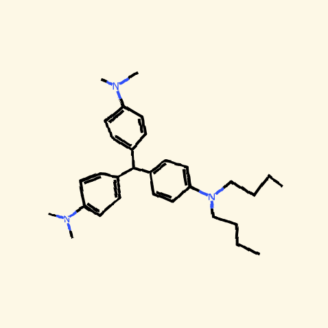 CCCCN(CCCC)c1ccc(C(c2ccc(N(C)C)cc2)c2ccc(N(C)C)cc2)cc1